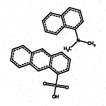 CN(C)c1cccc2ccccc12.O=S(=O)(O)c1cccc2cc3ccccc3cc12